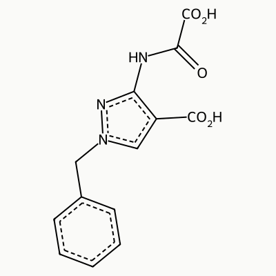 O=C(O)C(=O)Nc1nn(Cc2ccccc2)cc1C(=O)O